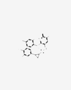 Cc1cc(NS(=O)(=O)C2CC2c2ccc(O)c(F)c2)c(Nc2ccc(I)cc2F)n(C)c1=O